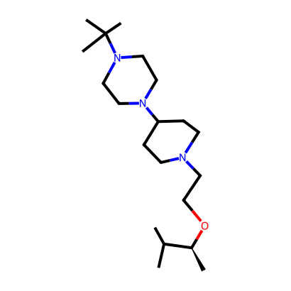 CC(C)[C@H](C)OCCN1CCC(N2CCN(C(C)(C)C)CC2)CC1